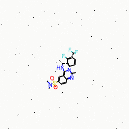 Cc1nc(N[C@H](C)c2cccc(C(F)F)c2F)c2cc(S(=O)(=O)N(C)C)ccc2n1